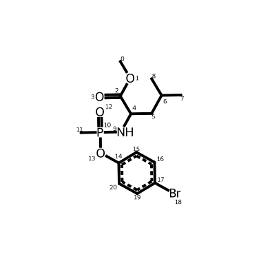 COC(=O)C(CC(C)C)NP(C)(=O)Oc1ccc(Br)cc1